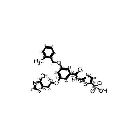 Cc1ccccc1COc1cc(OCCc2scnc2C)cc(C(=O)Nc2ncc(S(=O)(=O)O)s2)c1